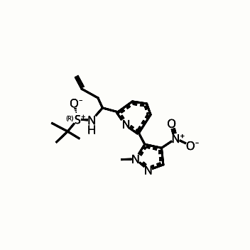 C=CCC(N[S@@+]([O-])C(C)(C)C)c1cccc(-c2c([N+](=O)[O-])cnn2C)n1